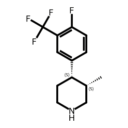 C[C@@H]1CNCC[C@@H]1c1ccc(F)c(C(F)(F)F)c1